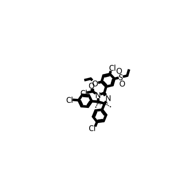 CCOc1cc(Cl)c(S(=O)(=O)CC)cc1C1=N[C@@](C)(c2ccc(Cl)cc2)[C@@](C)(c2ccc(Cl)cc2)N1C(=O)Cl